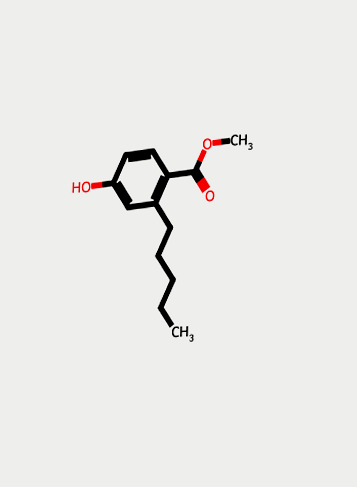 CCCCCc1cc(O)ccc1C(=O)OC